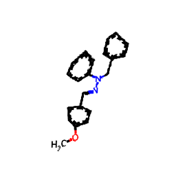 COc1ccc(C=NN(Cc2ccccc2)c2ccccc2)cc1